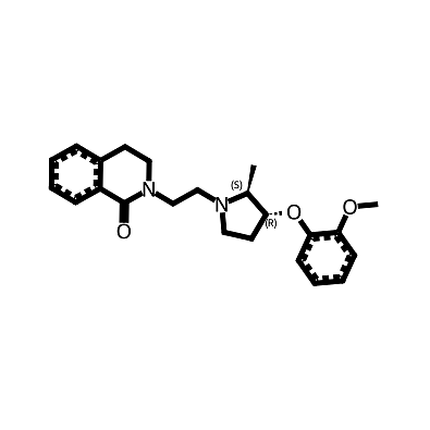 COc1ccccc1O[C@@H]1CCN(CCN2CCc3ccccc3C2=O)[C@H]1C